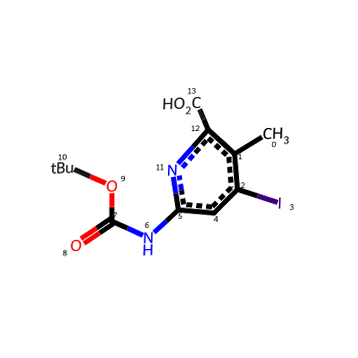 Cc1c(I)cc(NC(=O)OC(C)(C)C)nc1C(=O)O